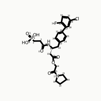 O=C(CCP(=O)(O)O)N[C@@H](CC(=O)OCC(=O)N1CCCC1)Cc1ccc(-c2cc(Cl)ccc2F)cc1